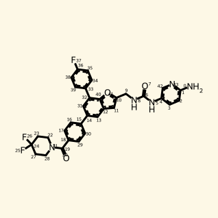 Nc1ccc(NC(=O)NCc2cc3cc(-c4ccc(C(=O)N5CCC(F)(F)CC5)cc4)cc(-c4ccc(F)cc4)c3o2)cn1